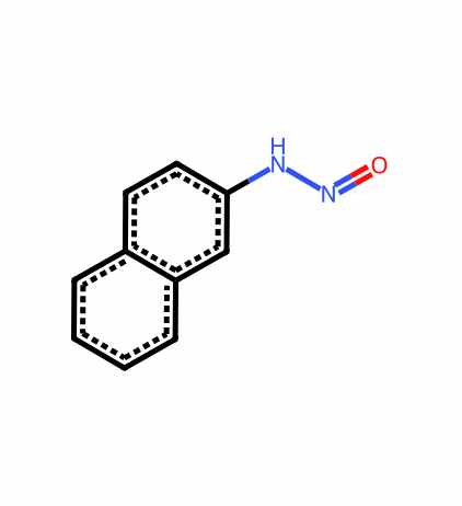 O=NNc1ccc2ccccc2c1